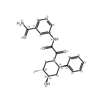 C[C@@H]1CN(C(=O)C(=O)Nc2cncc(C(N)=O)c2)[C@@H](c2ccccc2)C[C@H]1O